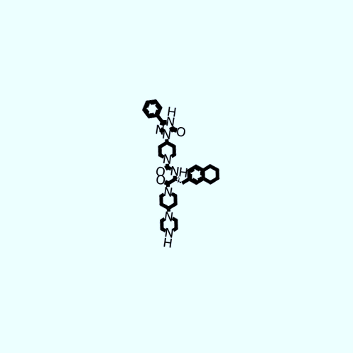 O=C(N[C@H](Cc1ccc2c(c1)CCCC2)C(=O)N1CCC(N2CCNCC2)CC1)N1CCC(n2nc(-c3ccccc3)[nH]c2=O)CC1